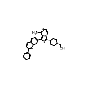 Nc1nccn2c1c(C1=CC=C3C=CC(C4=CCCC=C4)=NC3C1)nc2[C@H]1CC[C@H](CO)CC1